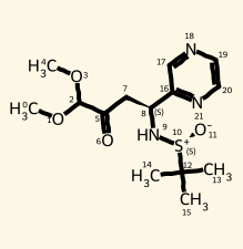 COC(OC)C(=O)C[C@H](N[S@+]([O-])C(C)(C)C)c1cnccn1